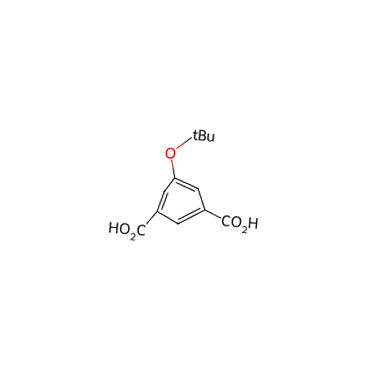 CC(C)(C)Oc1cc(C(=O)O)cc(C(=O)O)c1